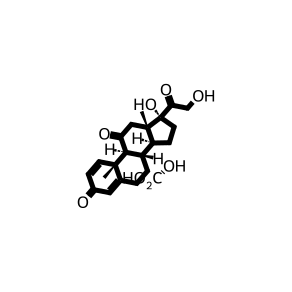 C[C@]12C=CC(=O)C=C1CC[C@@H]1[C@@H]2C(=O)C[C@@]2(C)[C@H]1CC[C@]2(O)C(=O)CO.O=C(O)O